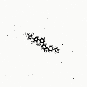 Cc1ncc(-c2cc(F)cc(-c3ccc(-n4ccn(C)c4=O)c(Cl)c3)c2O)cc1N1CCN(C2CCOC2)CC1